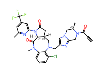 C#CC(=O)N1Cc2nc(CN3C[C@H]4CC(=O)N(c5cc(C(F)(F)F)cc(C)n5)[C@@H]4C(=O)N(C)c4cccc(Cl)c43)cn2C[C@H]1C